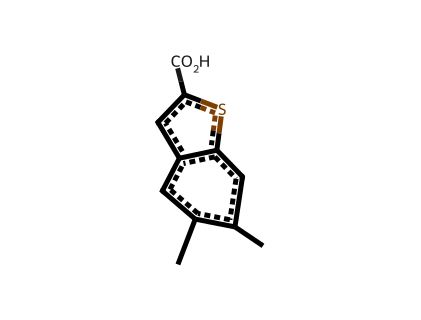 Cc1cc2cc(C(=O)O)sc2cc1C